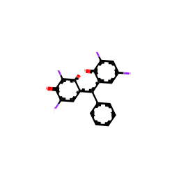 O=c1c(I)cc2c(-c3ccccc3)c3cc(I)cc(I)c3oc-2c1I